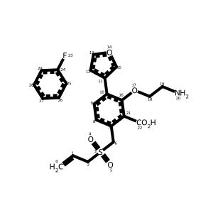 C=CCS(=O)(=O)Cc1ccc(-c2ccoc2)c(OCCN)c1C(=O)O.Fc1ccccc1